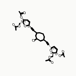 CC(=O)OC[C@H]1O[C@H](C#CC2CCCC(C#C[C@@H]3C=C[C@H](OC(C)=O)[C@@H](COC(C)=O)O3)CC(Cl)C2)C=C[C@@H]1OC(C)=O